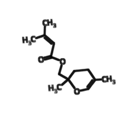 CC(C)=CC(=O)OCC1(C)CCC(C)=CO1